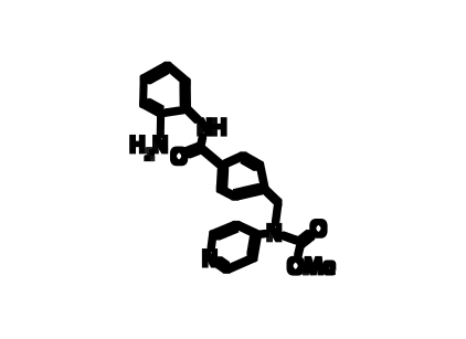 COC(=O)N(Cc1ccc(C(=O)Nc2ccccc2N)cc1)c1ccncc1